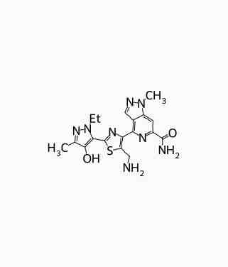 CCn1nc(C)c(O)c1-c1nc(-c2nc(C(N)=O)cc3c2cnn3C)c(CN)s1